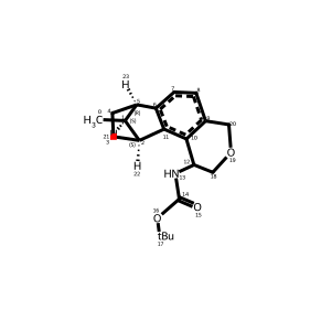 C[C@@H]1[C@@H]2CC[C@H]1c1ccc3c(c12)C(NC(=O)OC(C)(C)C)COC3